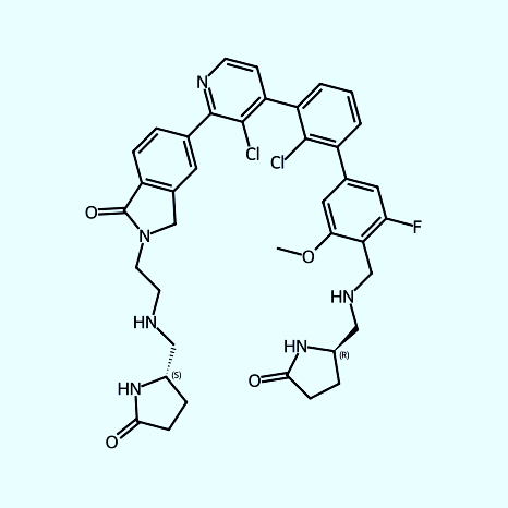 COc1cc(-c2cccc(-c3ccnc(-c4ccc5c(c4)CN(CCNC[C@@H]4CCC(=O)N4)C5=O)c3Cl)c2Cl)cc(F)c1CNC[C@H]1CCC(=O)N1